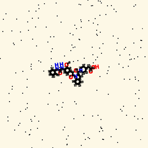 COc1cc(CC(=O)N2c3ccccc3CC2C(=O)N2CCC(CC(=O)O)CC2)ccc1NC(=O)Nc1ccccc1C